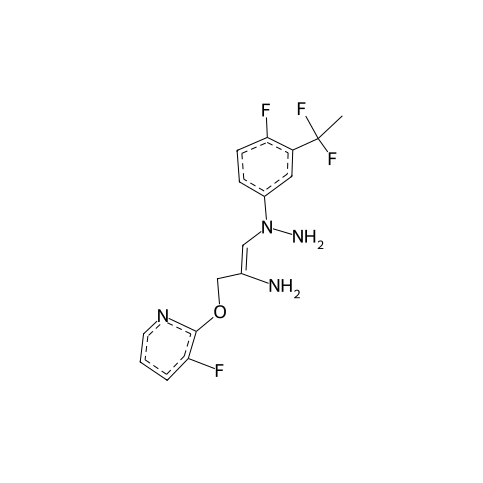 CC(F)(F)c1cc(N(N)/C=C(\N)COc2ncccc2F)ccc1F